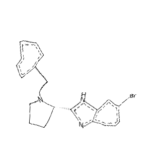 Brc1ccc2nc([C@@H]3CCCN3Cc3ccccc3)[nH]c2c1